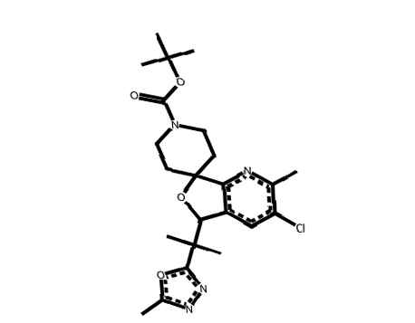 Cc1nnc(C(C)(C)C2OC3(CCN(C(=O)OC(C)(C)C)CC3)c3nc(C)c(Cl)cc32)o1